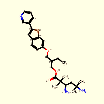 CC(C)(N)CC(N)C(C)(C)C(=O)OCC(COc1ccc2cc(-c3cccnc3)sc2c1)CC(F)(F)F